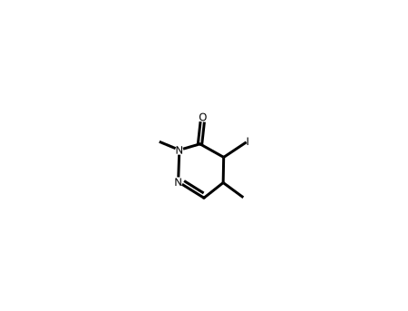 CC1C=NN(C)C(=O)C1I